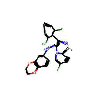 C=C1C=CC(F)=CN1/C(Nc1ccc2c(c1)OCCO2)=C(\N)c1c(F)cccc1Cl